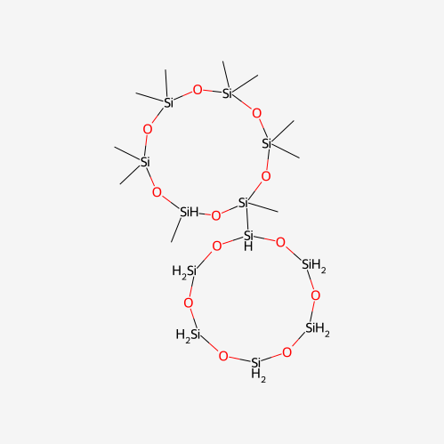 C[SiH]1O[Si](C)(C)O[Si](C)(C)O[Si](C)(C)O[Si](C)(C)O[Si](C)([SiH]2O[SiH2]O[SiH2]O[SiH2]O[SiH2]O[SiH2]O2)O1